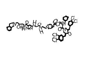 O=C(CNc1cc(C(=O)NC[C@H](O)CN2CCc3ccccc3C2)ncn1)NCCN1CCN(C(=O)CN[C@H](Cc2ccccc2)C(=O)N2C/C(=C\c3ccc(Cl)c(Cl)c3)C(=O)/C(=C/c3ccc(Cl)c(Cl)c3)C2)CC1